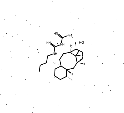 CCCCNC(=N)NC(=N)N.C[C@@H]1CCC[C@@]2(C)CC[C@H]3[C@H](C)CC[C@@H](C[C@H]12)C3(C)C.Cl